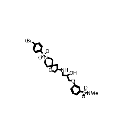 CNS(=O)(=O)c1cccc(OCC(O)CNC2COC3(CCN(S(=O)(=O)c4ccc(C(C)(C)C)cc4)CC3)C2)c1